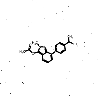 CC(=O)Oc1c2cccc(-c3ccc(C(C)C)cc3)c2nn1C